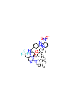 CCN(CC)c1ncc(CC(F)(F)F)c(N[C@@H](Cc2ccc(Nc3ncccc3[N+](=O)[O-])cc2)C(=O)OC(C)(C)C)n1